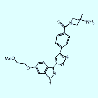 COCCOc1ccc2c(-c3cc(-c4ccc(C(=O)N5CC(C)(N)C5)cc4)no3)n[nH]c2c1